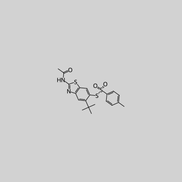 CC(=O)Nc1nc2cc(C(C)(C)C)c(SS(=O)(=O)c3ccc(C)cc3)cc2s1